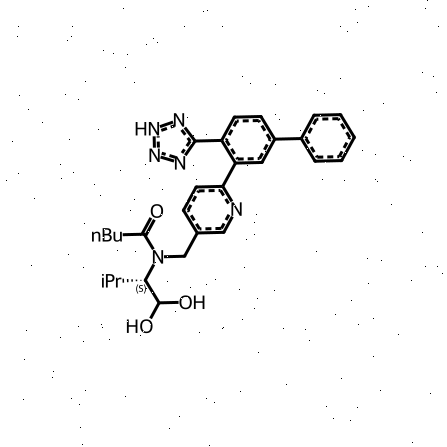 CCCCC(=O)N(Cc1ccc(-c2cc(-c3ccccc3)ccc2-c2nn[nH]n2)nc1)[C@@H](C(C)C)C(O)O